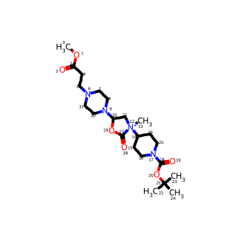 COC(=O)CCN1CCN(C2C[N+](C)(C3CCN(C(=O)OC(C)(C)C)CC3)C(=O)O2)CC1